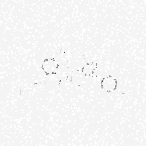 Cc1nn(-c2ccc(F)cc2)c2c1CN(C(=O)c1c(OC(C)C(F)(F)F)ccc(C#N)c1Cl)CC2